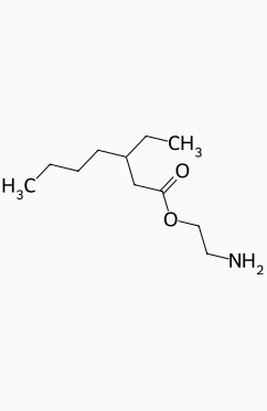 CCCCC(CC)CC(=O)OCCN